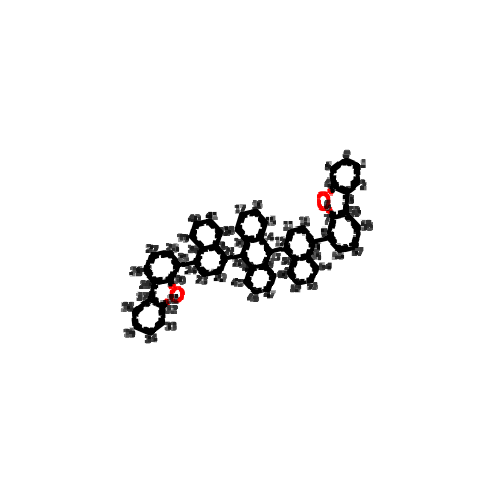 c1ccc2c(c1)oc1c(-c3ccc(-c4c5ccccc5c(-c5ccc(-c6cccc7c6oc6ccccc67)c6ccccc56)c5ccccc45)c4ccccc34)cccc12